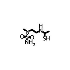 CC(S)NCCN(C)S(N)(=O)=O